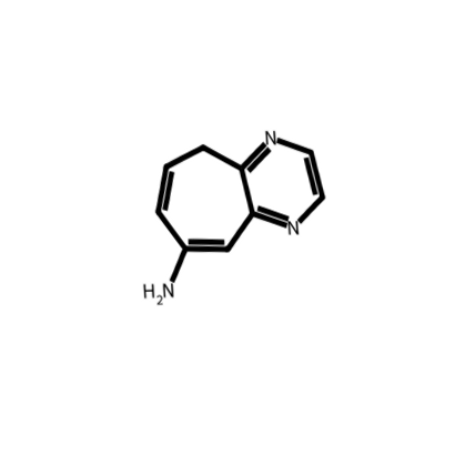 NC1=Cc2nccnc2CC=C1